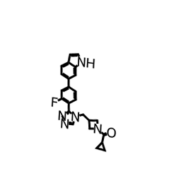 O=C(C1CC1)N1CC(Cn2cnnc2-c2ccc(-c3ccc4cc[nH]c4c3)cc2F)C1